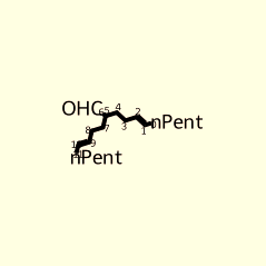 CCCCCC=CCCC(C=O)CCC=CCCCCC